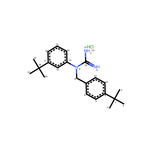 CC(C)(C)c1ccc(CN(C(=N)N)c2cccc(C(C)(C)C)c2)cc1.Cl